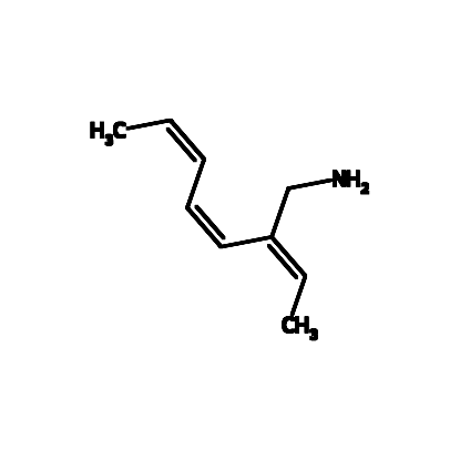 C\C=C/C=C\C(=C/C)CN